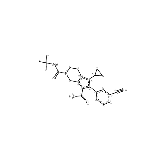 CC(C)(C)NC(=O)N1CCn2c(c(C(N)=O)c(-c3cccc(C#N)c3)c2C2CC2)C1